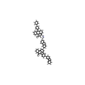 Cc1c(/C=C\Cc2ccc3c(c2)sc2ccc(-c4cc5c6ccccc6c(=O)n6c7ccc(-c8ccc9sc%10ccccc%10c9c8)cc7c(c4)c56)cc23)c2cccc3c2n(c1=O)-c1ccccc1N3c1ccc(-c2ccccc2)cc1